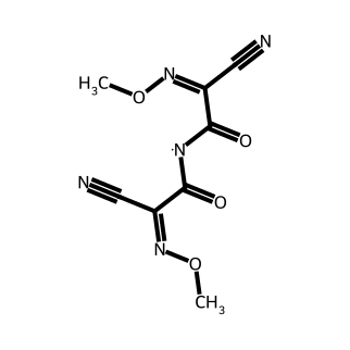 CO/N=C(/C#N)C(=O)[N]C(=O)/C(C#N)=N\OC